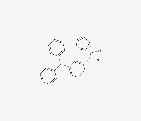 C1=CCC=C1.ClCCl.[Ni].c1ccc(P(c2ccccc2)c2ccccc2)cc1